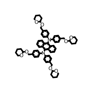 c1ccc2c(N(c3ccc(COC4CCCCO4)cc3)c3ccc(COC4CCCCO4)cc3)c3ccccc3c(N(c3ccc(COC4CCCCO4)cc3)c3ccc(COC4CCCCO4)cc3)c2c1